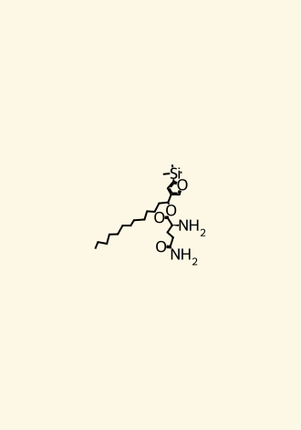 CCCCCCCCCCCCC(OC(=O)[C@@H](N)CCC(N)=O)c1coc([Si](C)(C)C)c1